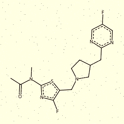 CC(=O)N(C)c1nc(F)c(CN2CCC(Cc3ncc(F)cn3)C2)s1